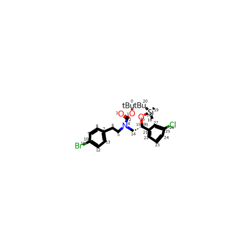 CC(C)(C)OC(=O)N(CCc1ccc(Br)cc1)C[C@H](O[Si](C)(C)C(C)(C)C)c1cccc(Cl)c1